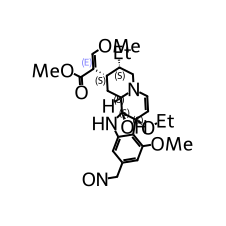 CCO[C@]12C=CN3C[C@@H](CC)[C@@H](/C(=C\OC)C(=O)OC)C[C@H]3[C@@]1(O)Nc1cc(CN=O)cc(OC)c12